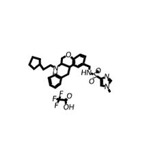 Cn1cnc(S(=O)(=O)NCc2ccc3c(c2)C(Cc2ccccc2)C(NCCC2CCCC2)CO3)c1.O=C(O)C(F)(F)F